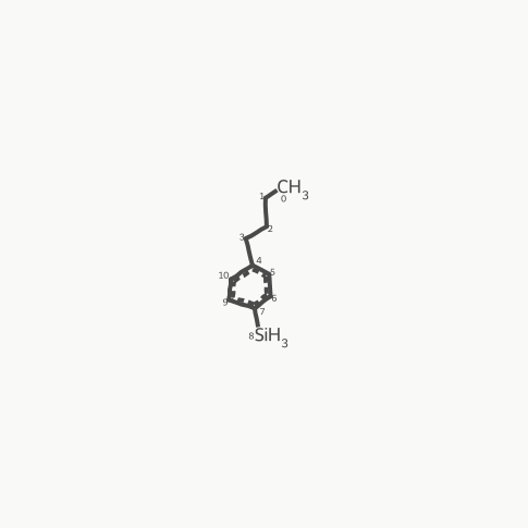 CCCCc1ccc([SiH3])cc1